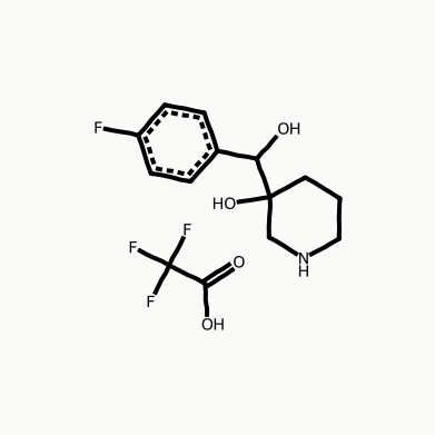 O=C(O)C(F)(F)F.OC(c1ccc(F)cc1)C1(O)CCCNC1